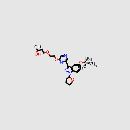 CC(O)CCOCCOc1cncc(-c2nn(C3CCCCO3)c3ccc(O[Si](C)(C)C(C)(C)C)cc23)n1